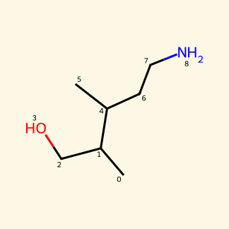 CC(CO)C(C)CCN